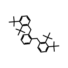 CC(C)(C)c1cccc(Cc2[c]cccc2Cc2cccc(C(C)(C)C)c2C(C)(C)C)c1C(C)(C)C